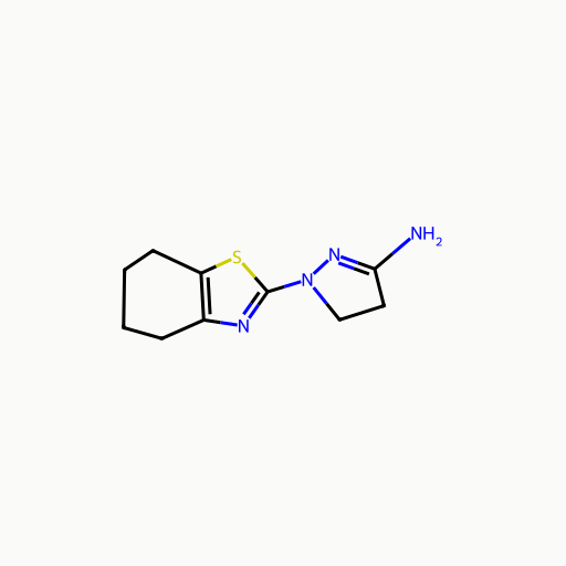 NC1=NN(c2nc3c(s2)CCCC3)CC1